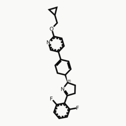 Fc1cccc(F)c1C1=N[C@@H](C2C=CC(c3ccc(OCC4CC4)nc3)=CC2)CC1